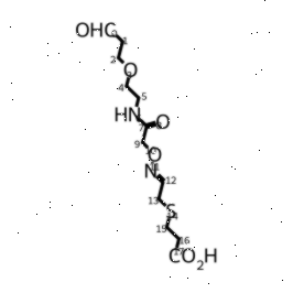 O=CCCOCCNC(=O)CON=CCSCCC(=O)O